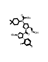 CC1(C)CCC(N(C(=O)C(C)(C)C)[C@H]2C[C@@H](C=NO)N(C(=O)[C@@H]3CN(C(C)(C)C)C[C@H]3c3ccc(F)cc3F)C2)CC1